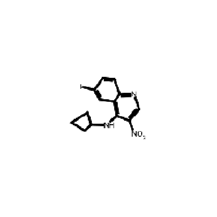 O=[N+]([O-])c1cnc2ccc(I)cc2c1NC1CCC1